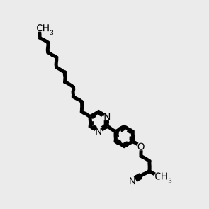 CCCCCCCCCCCCc1cnc(-c2ccc(OCCC(C)C#N)cc2)nc1